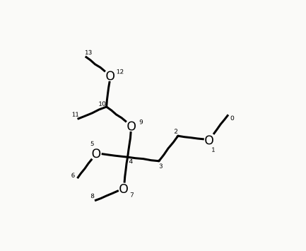 COCCC(OC)(OC)OC(C)OC